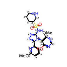 COC1=NC(c2nnc(NS(=O)(=O)[C@H]3CCCNC3)n2-c2c(O)ncnc2OC)=C=C=C1